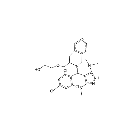 CSc1n[nH]c(N(C)C)c1C(c1c(Cl)cc(Cl)cc1Cl)N1Cc2ccccc2CC1COCCO